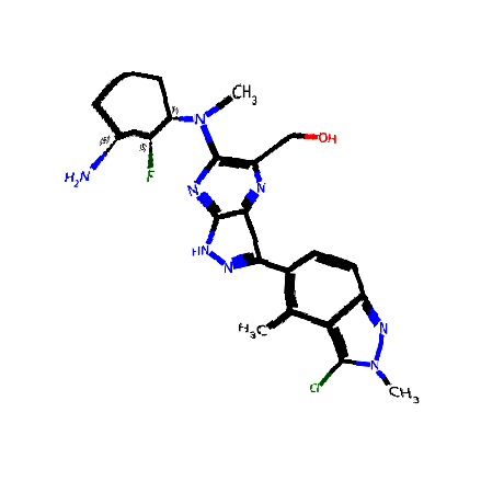 Cc1c(-c2n[nH]c3nc(N(C)[C@@H]4CCC[C@H](N)[C@@H]4F)c(CO)nc23)ccc2nn(C)c(Cl)c12